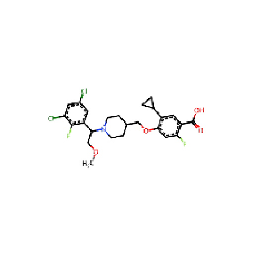 COCC(c1cc(Cl)cc(Cl)c1F)N1CCC(COc2cc(F)c(C(=O)O)cc2C2CC2)CC1